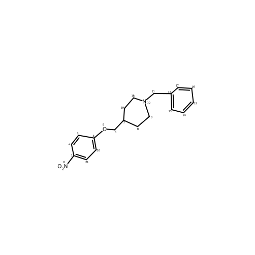 O=[N+]([O-])c1ccc(OCC2CCN(Cc3ccccc3)CC2)cc1